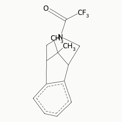 CC1(C)C2CN(C(=O)C(F)(F)F)CC1c1ccccc12